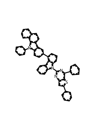 c1ccc(-c2cc3nc(-n4c5ccccc5c5c(-c6ccc7c(c6)c6ccc8ccccc8c6n7-c6ccccc6)cccc54)nc(-c4ccccc4)c3s2)cc1